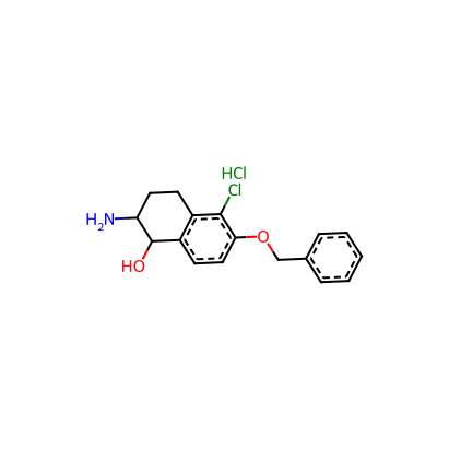 Cl.NC1CCc2c(ccc(OCc3ccccc3)c2Cl)C1O